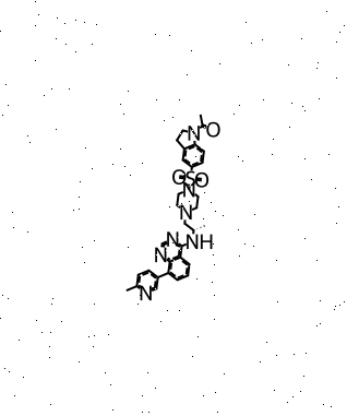 CC(=O)N1CCc2cc(S(=O)(=O)N3CCN(C[C@H](C)Nc4ncnc5c(-c6ccc(C)nc6)cccc45)CC3)ccc21